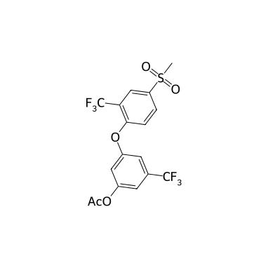 CC(=O)Oc1cc(Oc2ccc(S(C)(=O)=O)cc2C(F)(F)F)cc(C(F)(F)F)c1